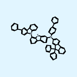 c1ccc(-c2ccc(N(c3ccc4c(c3)C(c3ccccc3)(c3ccccc3)c3ccccc3-4)c3ccc4c(c3)sc3c(-n5c6ccccc6c6cc(-c7ccccc7)ccc65)cccc34)cc2)cc1